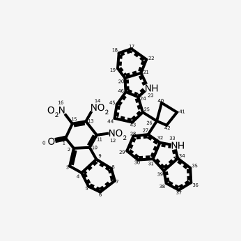 O=C1C2=Cc3ccccc3C2=C([N+](=O)[O-])C([N+](=O)[O-])=C1[N+](=O)[O-].c1ccc2c(c1)[nH]c1c(C3(c4cccc5c4[nH]c4ccccc45)CCC3)cccc12